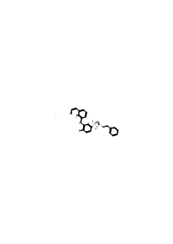 Cc1ccc2cccc(C(O)c3c(Cl)ccc(S(=O)(=O)N(C)CCc4ccccc4)c3Cl)c2n1